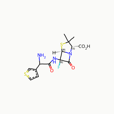 CC1(C)S[C@H]2N(C(=O)[C@]2(F)NC(=O)C(N)c2ccsc2)[C@H]1C(=O)O